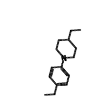 CCc1ccc(N2CCC(CC)CC2)cc1